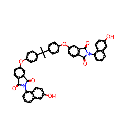 CC(C)(c1ccc(Oc2ccc3c(c2)C(=O)N(c2cccc4cc(O)ccc24)C3=O)cc1)c1ccc(Oc2ccc3c(c2)C(=O)N(c2cccc4cc(O)ccc24)C3=O)cc1